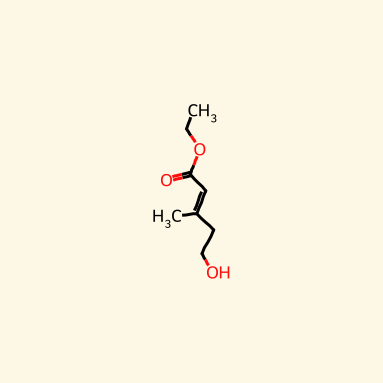 CCOC(=O)/C=C(\C)CCO